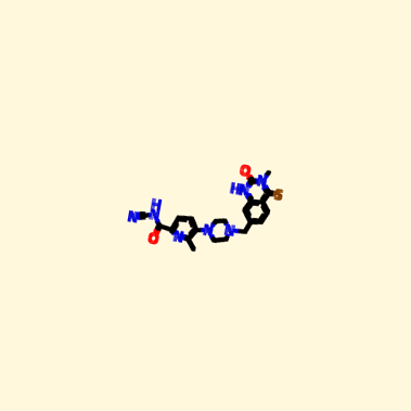 Cc1nc(C(=O)NC#N)ccc1N1CCN(Cc2ccc3c(=S)n(C)c(=O)[nH]c3c2)CC1